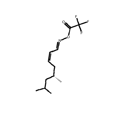 CC(C)C[C@@H](C)C/C=C\C=N\OC(=O)C(F)(F)F